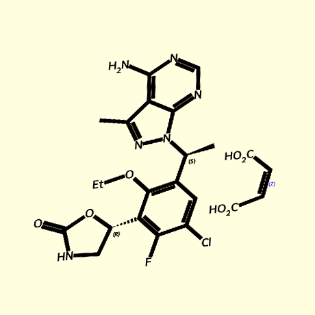 CCOc1c([C@H](C)n2nc(C)c3c(N)ncnc32)cc(Cl)c(F)c1[C@@H]1CNC(=O)O1.O=C(O)/C=C\C(=O)O